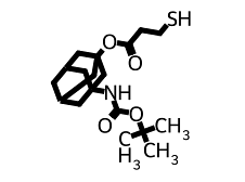 CC(C)(C)OC(=O)NC12CC3CC(C1)CC(OC(=O)CCS)(C3)C2